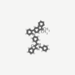 CC1(C)c2ccccc2-c2cc3c4ccccc4n(-c4ccc(-c5nc(-c6ccccc6)nc6c5oc5ccccc56)cc4)c3cc21